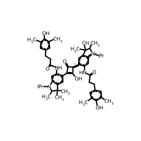 Cc1cc(CCC(=O)Nc2cc3c(cc2C2=C(O)/C(=c4/cc5c(cc4NC(=O)CCc4cc(C)c(O)c(C)c4)=[N+](C(C)C)C(C)C5(C)C)C2=O)C(C)(C)C(C)N3C(C)C)cc(C)c1O